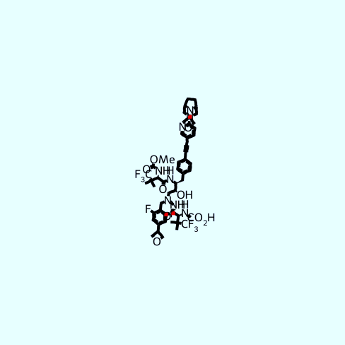 COC(=O)N[C@H](C(=O)N[C@@H](Cc1ccc(C#Cc2ccc(N3CC4CCC(C3)N4C3COC3)nc2)cc1)[C@@H](O)CN(Cc1c(F)cc(C2COC2)cc1F)NC(=O)[C@@H](NC(=O)O)C(C)(C)C(F)(F)F)C(C)(C)C(F)(F)F